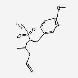 C=CCC(C)C(Cc1ccc(OC)cc1)S(N)(=O)=O